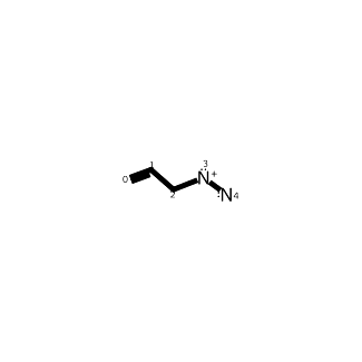 C=CC[N+][N]